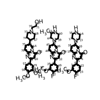 COc1cc(-c2cc(=O)n3cc(N4CCNCC4)ccc3n2)ccc1F.COc1cc(-c2cc(=O)n3cc(N4CCN[C@@H](C)C4)ccc3n2)ccc1F.COc1ccc(-c2cc(=O)n3cc(C4CCN(CCO)CC4)ccc3n2)cc1OC